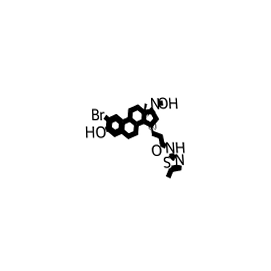 Cc1cnc(NC(=O)CC[C@@H]2CC(=NO)[C@@]3(C)CCC4c5cc(Br)c(O)cc5CCC4C23)s1